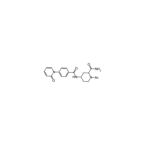 CC(=O)N1CCC(NC(=O)c2ccc(-n3ccccc3=O)cc2)[CH]C1C(N)=O